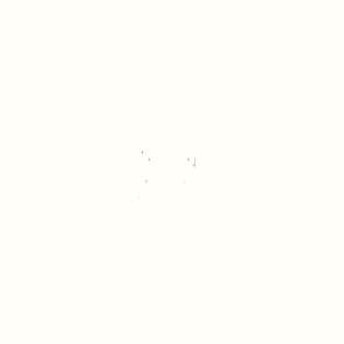 CCc1[c]nc2ccccc2n1